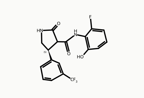 O=C1NC[C@H](c2cccc(C(F)(F)F)c2)C1C(=O)Nc1c(O)cccc1F